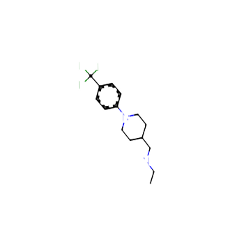 CCNCC1CCN(c2ccc(C(F)(F)F)cc2)CC1